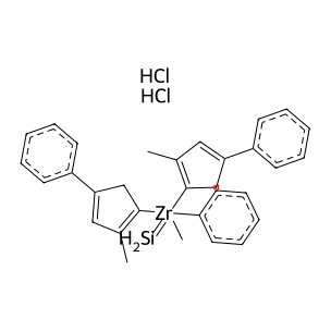 CC1=[C]([Zr]([CH3])(=[SiH2])([C]2=C(C)C=C(c3ccccc3)C2)[c]2ccccc2)CC(c2ccccc2)=C1.Cl.Cl